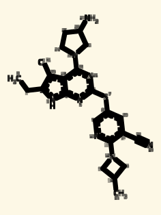 CCc1[nH]c2nc(Sc3cnc(N4CC(C)C4)c(C#N)c3)nc(N3CCC(N)C3)c2c1Cl